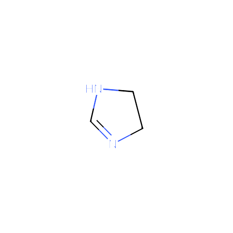 [C]1CNC=N1